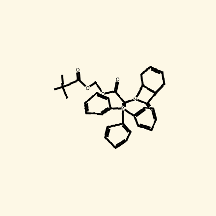 CC(C)(C)C(=O)OCOC(=O)C(N1C(=O)C2CC=CCC21)=P(c1ccccc1)(c1ccccc1)c1ccccc1